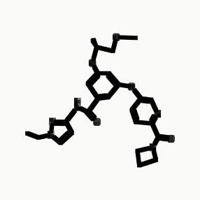 CCn1ccc(NC(=O)c2cc(Oc3ccc(C(=O)N4CCC4)nc3)cc(O[C@@H](C)COC)c2)n1